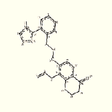 C=CCc1c(OCCc2ccccc2-c2ncc[nH]2)ccc2c1CCCC2=O